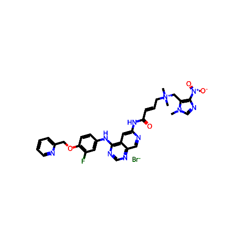 Cn1cnc([N+](=O)[O-])c1C[N+](C)(C)C/C=C/C(=O)Nc1cc2c(Nc3ccc(OCc4ccccn4)c(F)c3)ncnc2cn1.[Br-]